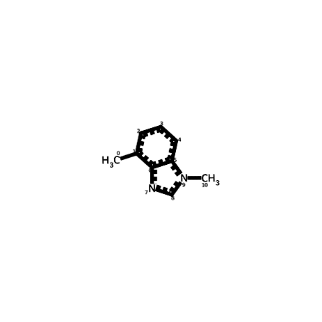 Cc1[c]ccc2c1ncn2C